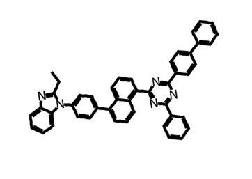 CCc1nc2ccccc2n1-c1ccc(-c2cccc3c(-c4nc(-c5ccccc5)nc(-c5ccc(-c6ccccc6)cc5)n4)cccc23)cc1